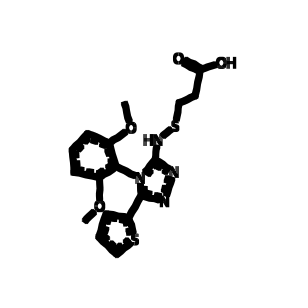 COc1cccc(OC)c1-n1c(NSCCC(=O)O)nnc1-c1cccs1